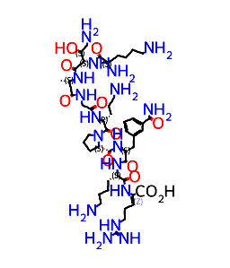 C[C@H](NC(=O)[C@@H](NC(=O)[C@@H](N)CCCCN)[C@@H](O)CN)C(=O)NCC(=O)N[C@H](CCCN)C(=O)N1CCC[C@H]1C(=O)N[C@@H](Cc1cccc(C(N)=O)c1)C(=O)N[C@@H](CCCCN)C(=O)N/C(=C\CCNC(=N)N)C(=O)O